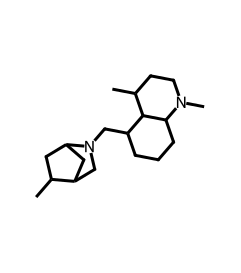 CC1CC2CC1CN2CC1CCCC2C1C(C)CCN2C